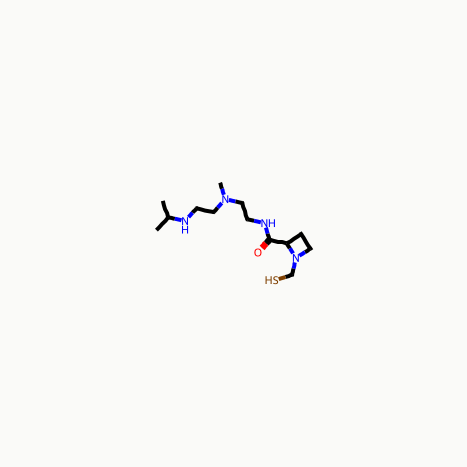 CC(C)NCCN(C)CCNC(=O)C1CCN1CS